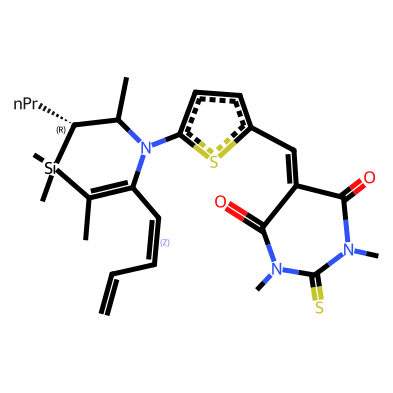 C=C/C=C\C1=C(C)[Si](C)(C)[C@H](CCC)C(C)N1c1ccc(C=C2C(=O)N(C)C(=S)N(C)C2=O)s1